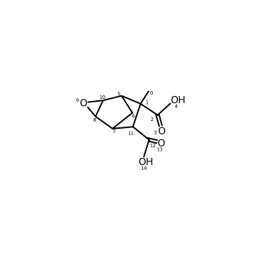 CC1(C(=O)O)C2CC(C3OC32)C1C(=O)O